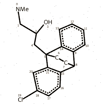 CNCC(O)CC12CCC(c3ccccc31)c1ccc(Cl)cc12